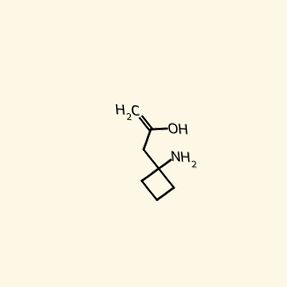 C=C(O)CC1(N)CCC1